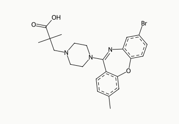 Cc1ccc2c(c1)Oc1ccc(Br)cc1N=C2N1CCN(CC(C)(C)C(=O)O)CC1